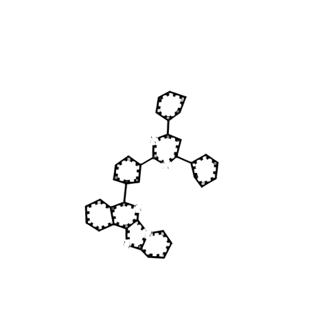 c1ccc(-c2cc(-c3ccccc3)nc(-c3cccc(-c4nc5c(nc6ccccn65)c5ccccc45)c3)n2)cc1